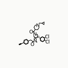 C#Cc1ccc(CC(=O)N(C)[C@H]2CN(C(=O)C3CCN(CC4CC4)CC3)C[C@@H]2c2ccc(Cl)c(Cl)c2)cc1